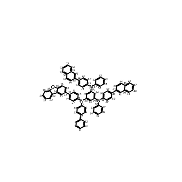 c1ccc(-c2ccc(N(c3ccc(-c4ccc5oc6ccccc6c5c4)cc3)c3cc(N(c4ccccc4)c4ccc(-c5ccc6ccccc6c5)cc4)cc(N(c4ccccc4)c4ccc(-c5ccc6ccccc6c5)cc4)c3)cc2)cc1